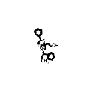 C=CC(SCC(CS)(CCO)SC(C=C)c1ccccc1)c1ccccc1